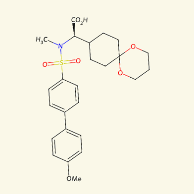 COc1ccc(-c2ccc(S(=O)(=O)N(C)[C@@H](C(=O)O)C3CCC4(CC3)OCCCO4)cc2)cc1